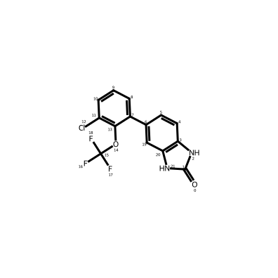 O=c1[nH]c2ccc(-c3cccc(Cl)c3OC(F)(F)F)cc2[nH]1